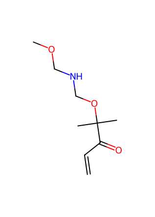 C=CC(=O)C(C)(C)OCNCOC